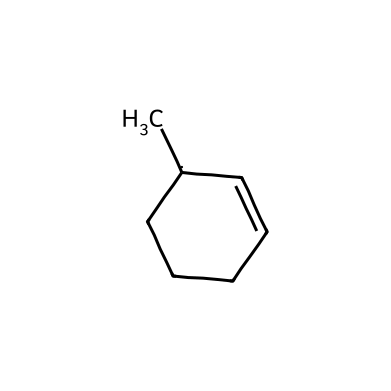 C[C]1C=CCCC1